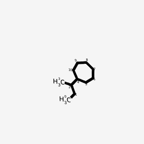 CCC(C)[C]1CCCCCC1